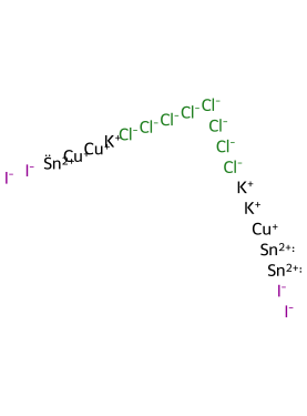 [Cl-].[Cl-].[Cl-].[Cl-].[Cl-].[Cl-].[Cl-].[Cl-].[Cu+].[Cu+].[Cu+].[I-].[I-].[I-].[I-].[K+].[K+].[K+].[Sn+2].[Sn+2].[Sn+2]